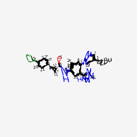 CC(C)(C)c1cnn(-c2ccc(NC(=O)[C@@H]3C[C@H]3c3ccc(Cl)cc3)cc2-c2nnn[nH]2)c1